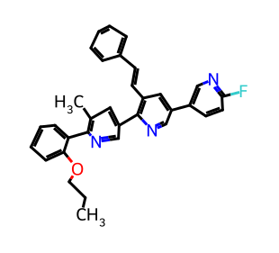 CCCOc1ccccc1-c1ncc(-c2ncc(-c3ccc(F)nc3)cc2/C=C/c2ccccc2)cc1C